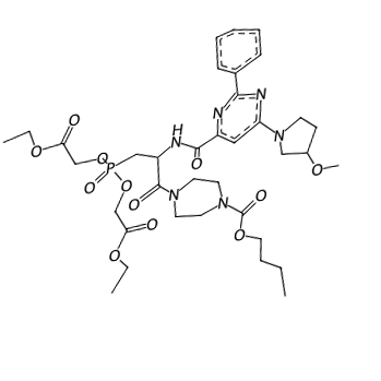 CCCCOC(=O)N1CCN(C(=O)C(CP(=O)(OCC(=O)OCC)OCC(=O)OCC)NC(=O)c2cc(N3CCC(OC)C3)nc(-c3ccccc3)n2)CC1